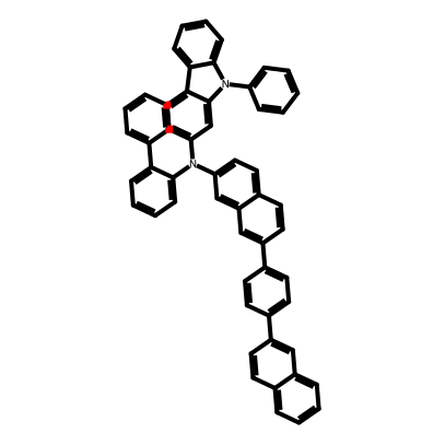 c1ccc(-c2ccccc2N(c2ccc3ccc(-c4ccc(-c5ccc6ccccc6c5)cc4)cc3c2)c2ccc3c4ccccc4n(-c4ccccc4)c3c2)cc1